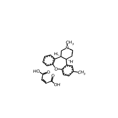 Cc1ccc2c(c1)[C@@H]1CCN(C)C[C@@H]1c1ccccc1O2.O=C(O)/C=C\C(=O)O